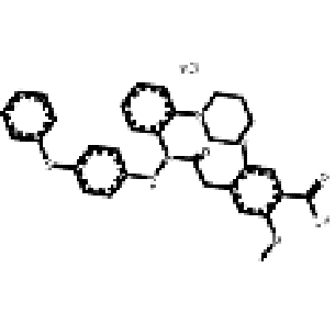 COc1cc(CC(=O)N(Nc2ccc(Sc3ccccc3)cc2)c2ccccc2N2CCCCC2)c(Br)cc1C(=O)O.Cl